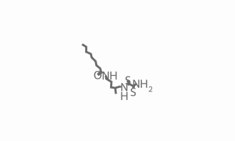 CCCCCCCCC(=O)NCCCC(C)CNC(=S)C(N)=S